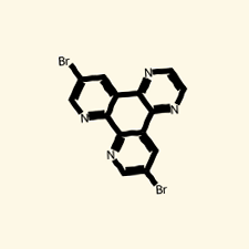 Brc1cnc2c(c1)c1nccnc1c1cc(Br)cnc12